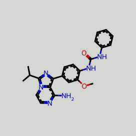 COc1cc(-c2nc(C(C)C)n3ccnc(N)c23)ccc1NC(=O)Nc1ccccc1